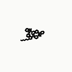 CCCCCCc1ccc(N(c2cccc(-c3nc4ccccc4n3-c3ccccc3)c2)c2cccc(-c3nc4ccccc4n3-c3ccccc3)c2)cc1